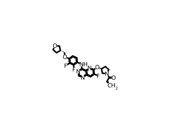 C=CC(=O)N1CC[C@H](Oc2nc3c(Nc4ccc(OC[C@@H]5CCOC5)c(F)c4F)ncnc3cc2F)C1